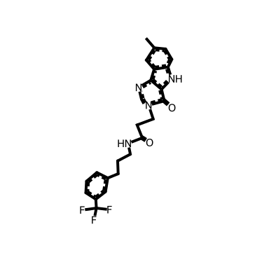 Cc1ccc2[nH]c3c(=O)n(CCC(=O)NCCCc4cccc(C(F)(F)F)c4)cnc3c2c1